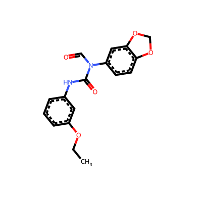 CCOc1cccc(NC(=O)N(C=O)c2ccc3c(c2)OCO3)c1